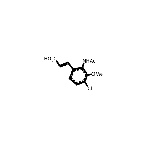 COc1c(Cl)ccc(/C=C/C(=O)O)c1NC(C)=O